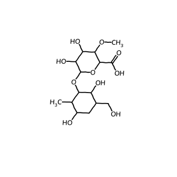 COC1C(C(=O)O)OC(OC2C(C)C(O)CC(CO)C2O)C(O)C1O